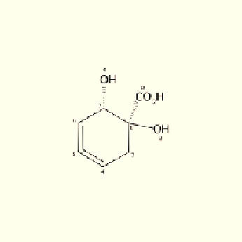 O=C(O)[C@]1(O)CC=C=C[C@@H]1O